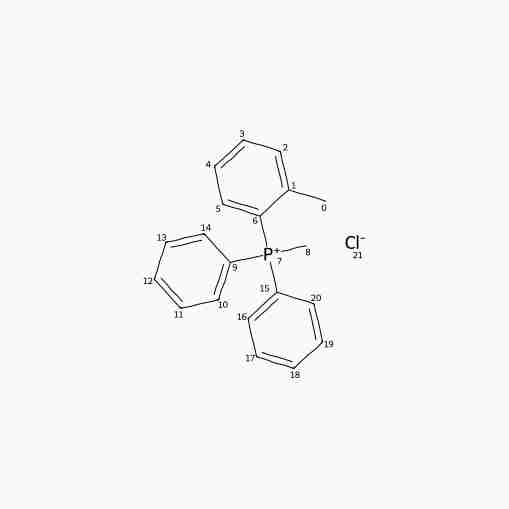 Cc1ccccc1[P+](C)(c1ccccc1)c1ccccc1.[Cl-]